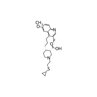 COc1ccc2ncc(F)c(CCC[C@H]3CCN(CCSC4CC4)C[C@H]3C(=O)O)c2c1